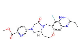 CCC1=Nc2cc3c(c(F)c2NC1)CN1C(=O)CN(c2ccc(C(=O)OC)nc2)C[C@@H]1CCO3